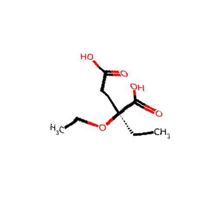 CCO[C@@](CC)(CC(=O)O)C(=O)O